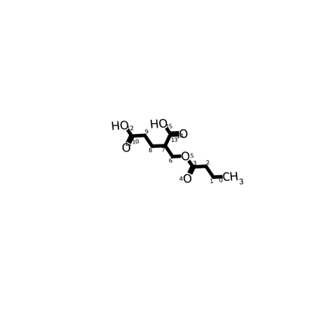 CCCC(=O)OCC(CCC(=O)O)C(=O)O